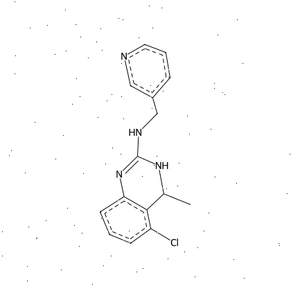 CC1NC(NCc2cccnc2)=Nc2cccc(Cl)c21